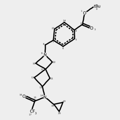 CC(C)(C)OC(=O)c1ccc(CN2CC3(CC(N(C(=O)C(F)(F)F)C4CC4)C3)C2)cc1